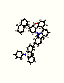 c1ccc(-n2c3ccccc3c3cc(-c4ccc5c6ccccc6n(-c6ccc(-c7cccc8ccccc78)c7oc8ccccc8c67)c5c4)ccc32)cc1